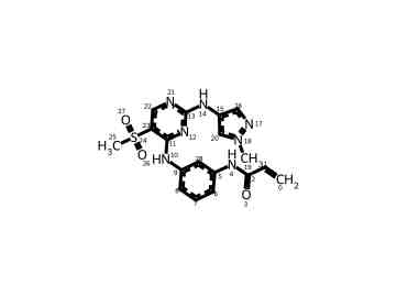 C=CC(=O)Nc1cccc(Nc2nc(Nc3cnn(C)c3)ncc2S(C)(=O)=O)c1